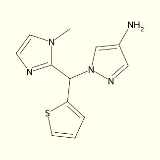 Cn1ccnc1C(c1cccs1)n1cc(N)cn1